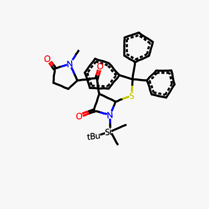 CN1C(=O)CCC1C(=O)C1C(=O)N([Si](C)(C)C(C)(C)C)C1SC(c1ccccc1)(c1ccccc1)c1ccccc1